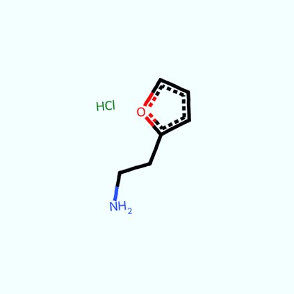 Cl.NCCc1ccco1